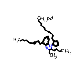 CCCCCCC#CCCc1ccccc1N=C(CC)C(CCCC)=Nc1ccccc1CCC#CCCCCCC.[Pd]